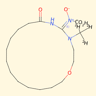 [2H]C([2H])([2H])N1CCOCCCCCCCCCCCC(=O)N/C1=[N+](\[O-])C(=O)O